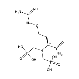 N=C(N)NOCC[C@@H](C(N)=O)N(CP(=O)(O)O)CP(=O)(O)O